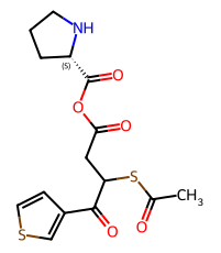 CC(=O)SC(CC(=O)OC(=O)[C@@H]1CCCN1)C(=O)c1ccsc1